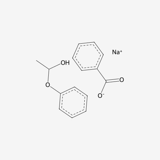 CC(O)Oc1ccccc1.O=C([O-])c1ccccc1.[Na+]